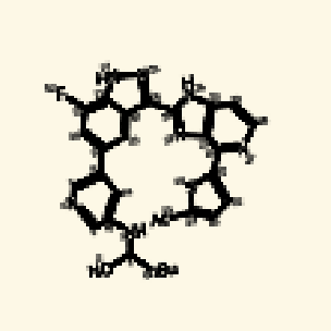 CCCCC(O)Nc1cncc(-c2cc(F)c3[nH]nc(-c4nc5c(-c6ccc(C(C)=O)s6)nccc5[nH]4)c3c2)c1